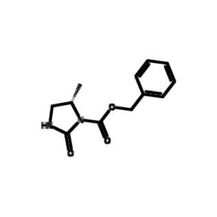 C[C@H]1CNC(=O)N1C(=O)OCc1ccccc1